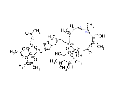 CC[C@H]1OC(=O)C[C@@H](O)[C@H](C)[C@@H](O[C@@H]2O[C@H](C)[C@@H](O)C(N(C)C)C2O)[C@@H](CCN(C)Cc2cn(C[C@@H]3O[C@H](COC(C)=O)[C@@H](OC(C)=O)[C@H](OC(C)=O)[C@H]3OC(C)=O)nn2)C[C@@H](C)C(=O)/C=C/C(C)=C/[C@@H]1CO